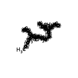 Cc1ccc(-c2ccc(-c3ccc(N(c4ccc(-c5ccc6sc7ccccc7c6c5)cc4)c4ccc5c(c4)C(C)(C)c4cc(-c6ccc(-c7cccc(-c8cccc(-c9ccc(N(c%10ccc(-c%11ccc%12sc%13ccccc%13c%12c%11)cc%10)c%10ccc%11c(c%10)C(C)(C)c%10cc(-c%12ccccc%12)ccc%10-%11)cc9)c8)c7)cc6)ccc4-5)cc3)cc2)cc1